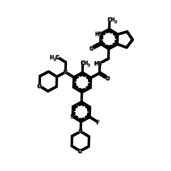 CCN(c1cc(-c2cnc(N3CCOCC3)c(F)c2)cc(C(=O)NCc2c3c(c(C)[nH]c2=O)CCC3)c1C)C1CCOCC1